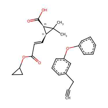 C#CCc1cccc(Oc2ccccc2)c1.CC1(C)[C@H](C(=O)O)[C@@H]1C=CC(=O)OC1CC1